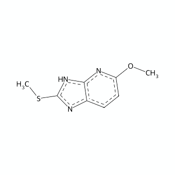 COc1ccc2nc(SC)[nH]c2n1